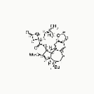 CCCCN1CCc2cc3c(cc2[C@@H]2[C@H](OC(=O)[C@@]4(CC=C(C)C)CC(=O)O4)C(OC)=C[C@@H]21)OCO3